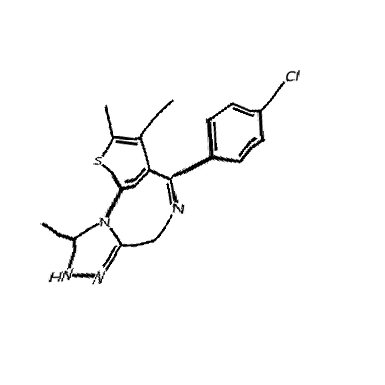 Cc1sc2c(c1C)C(c1ccc(Cl)cc1)=NCC1=NNC(C)N12